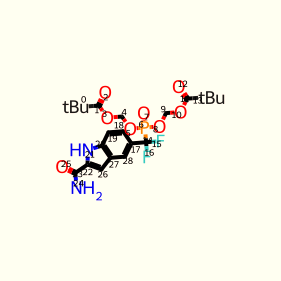 CC(C)(C)C(=O)OCOP(=O)(OCOC(=O)C(C)(C)C)C(F)(F)c1ccc2[nH]c(C(N)=O)cc2c1